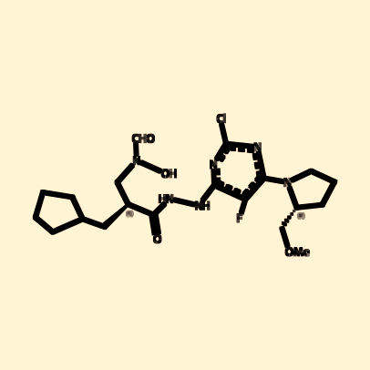 COC[C@H]1CCCN1c1nc(Cl)nc(NNC(=O)[C@@H](CC2CCCC2)CN(O)C=O)c1F